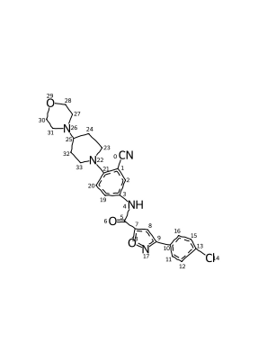 N#Cc1cc(NC(=O)c2cc(-c3ccc(Cl)cc3)no2)ccc1N1CCC(N2CCOCC2)CC1